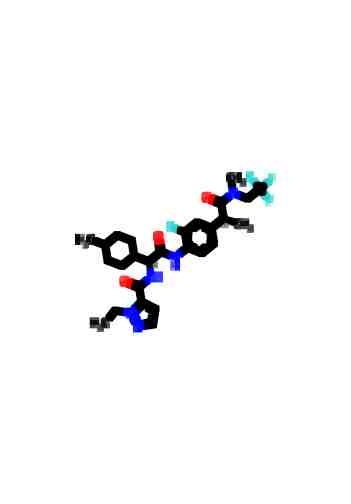 CCn1nccc1C(=O)N[C@H](C(=O)Nc1ccc([C@H](C)C(=O)N(C)CC(F)(F)F)cc1F)C1CCC(C)CC1